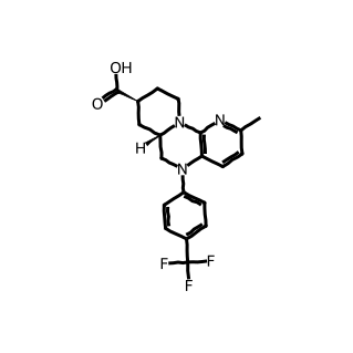 Cc1ccc2c(n1)N1CC[C@H](C(=O)O)C[C@H]1CN2c1ccc(C(F)(F)F)cc1